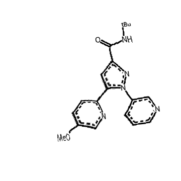 COc1ccc(-c2cc(C(=O)NC(C)(C)C)nn2-c2cccnc2)nc1